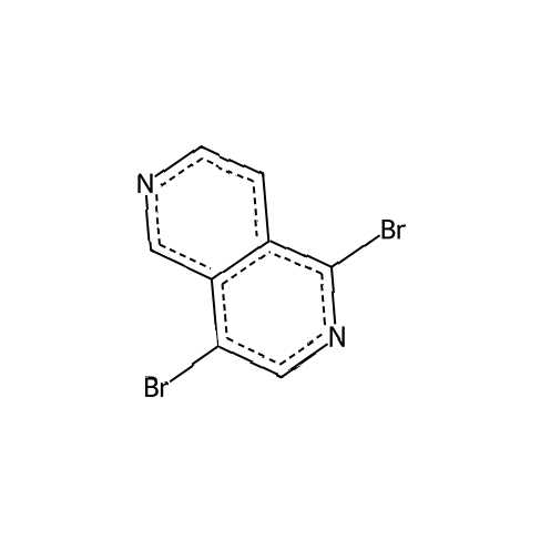 Brc1cnc(Br)c2ccncc12